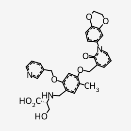 Cc1cc(CN[C@H](CO)C(=O)O)c(OCc2cccnc2)cc1OCc1cccn(-c2ccc3c(c2)OCCO3)c1=O